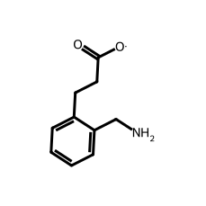 NCc1ccccc1CCC([O])=O